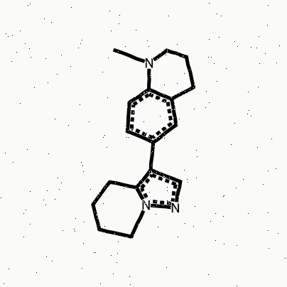 CN1CCCc2cc(-c3cnn4c3CCCC4)ccc21